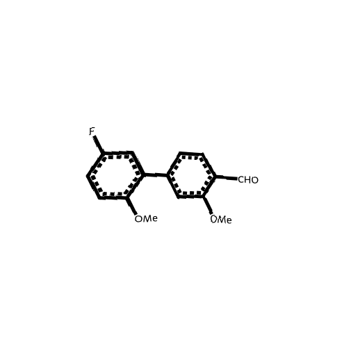 COc1cc(-c2cc(F)ccc2OC)ccc1C=O